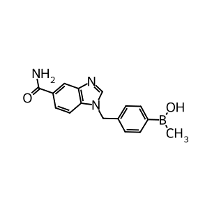 CB(O)c1ccc(Cn2cnc3cc(C(N)=O)ccc32)cc1